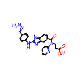 Cn1c(Nc2ccc(C=NN)cc2)nc2cc(C(=O)N(CCC(=O)O)c3ccccn3)ccc21